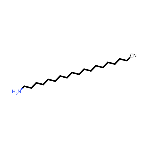 N#CCCCCCCCCCCCCCCCCCCN